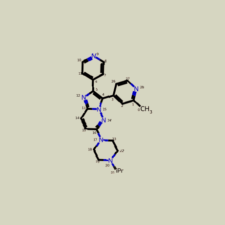 Cc1cc(-c2c(-c3ccncc3)nc3ccc(N4CCN(C(C)C)CC4)nn23)ccn1